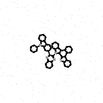 c1ccc(-n2c3ccccc3c3ccc(-c4nc5ccccc5nc4-n4c5ccccc5c5c6ccccc6c6c7ccccc7sc6c54)cc32)cc1